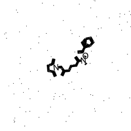 C=C(CCCC(=C)N(C)OC(=C)C1CC2C=CC1C2)CN1C(=C)CCC1=C